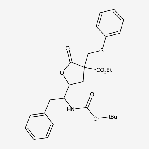 CCOC(=O)C1(CSc2ccccc2)CC(C(Cc2ccccc2)NC(=O)OC(C)(C)C)OC1=O